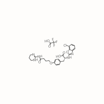 O=C(CCCOc1ccc(C[C@H](Nc2nc3cccc(Cl)c3o2)C(=O)O)cc1)NC1=NCCCN1.O=C(O)C(F)(F)F